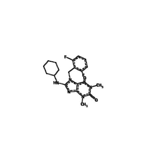 Cn1c(=O)c2c(nc(NC3CCCCC3)n2Cc2c(F)cccc2F)n(C)c1=O